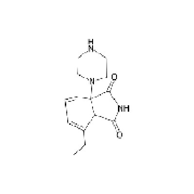 CCC1=CC=CC2(N3CCNCC3)C(=O)NC(=O)C12